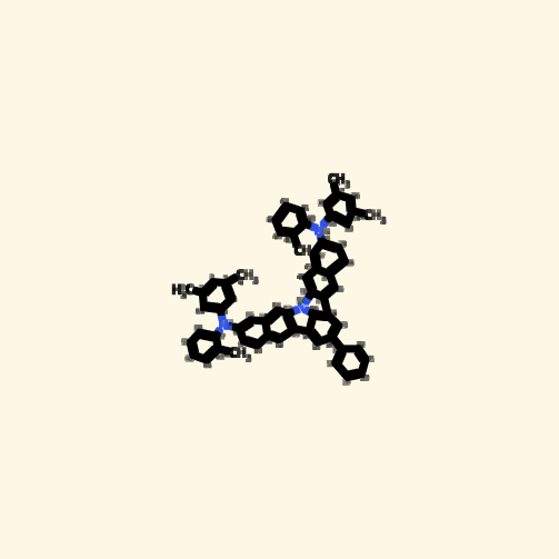 Cc1cc(C)cc(N(c2ccc3cc4c5cc(-c6ccccc6)cc6c7cc8ccc(N(c9cc(C)cc(C)c9)c9ccccc9C)cc8cc7n(c4cc3c2)c56)c2ccccc2C)c1